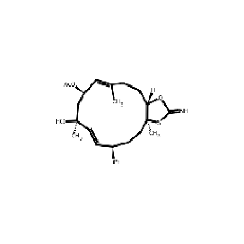 CC(=O)O[C@H]1/C=C(\C)CC[C@@H]2OC(=N)S[C@@]2(C)CC[C@@H](C(C)C)/C=C/[C@@](C)(O)C1